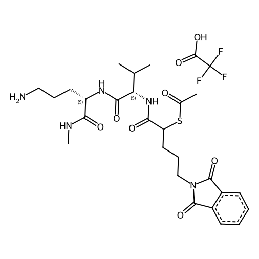 CNC(=O)[C@H](CCCN)NC(=O)[C@@H](NC(=O)C(CCCN1C(=O)c2ccccc2C1=O)SC(C)=O)C(C)C.O=C(O)C(F)(F)F